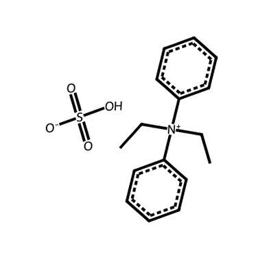 CC[N+](CC)(c1ccccc1)c1ccccc1.O=S(=O)([O-])O